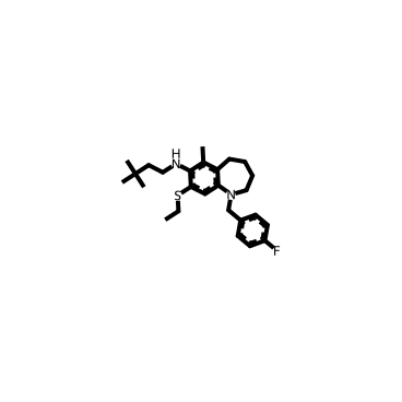 CCSc1cc2c(c(C)c1NCCC(C)(C)C)CCCCN2Cc1ccc(F)cc1